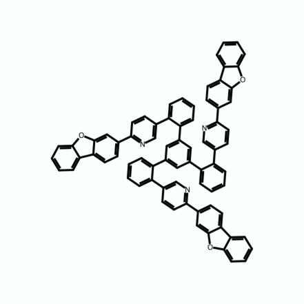 c1ccc(-c2cc(-c3ccccc3-c3ccc(-c4ccc5c(c4)oc4ccccc45)nc3)cc(-c3ccccc3-c3ccc(-c4ccc5c(c4)oc4ccccc45)nc3)c2)c(-c2ccc(-c3ccc4c(c3)oc3ccccc34)nc2)c1